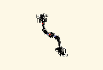 CCCCNC(=O)Nc1nc(=O)cc(CCCCCCOc2ccc(/C=N/c3cccc4c(/N=C/c5ccc(OCCCCCCc6cc(=O)nc(NC(=O)NCCCC)[nH]6)cc5)cccc34)cc2)[nH]1